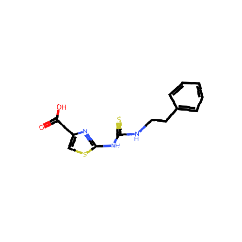 O=C(O)c1csc(NC(=S)NCCc2ccccc2)n1